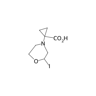 O=C(O)C1(N2CCOC(I)C2)CC1